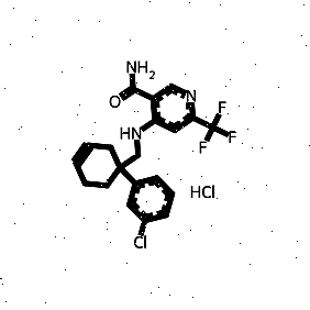 Cl.NC(=O)c1cnc(C(F)(F)F)cc1NCC1(c2cccc(Cl)c2)CC#CCC1